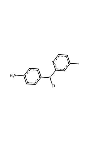 CCN(c1ccc(N)cc1)c1cc(C)ccn1